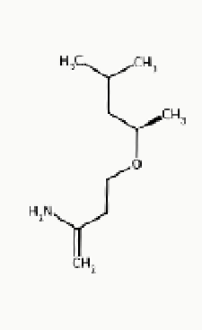 C=C(N)CCO[C@H](C)CC(C)C